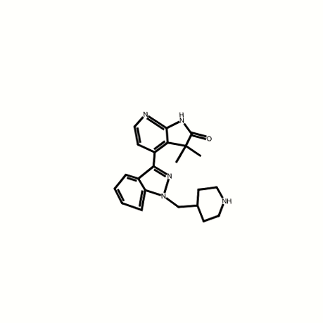 CC1(C)C(=O)Nc2nccc(-c3nn(CC4CCNCC4)c4ccccc34)c21